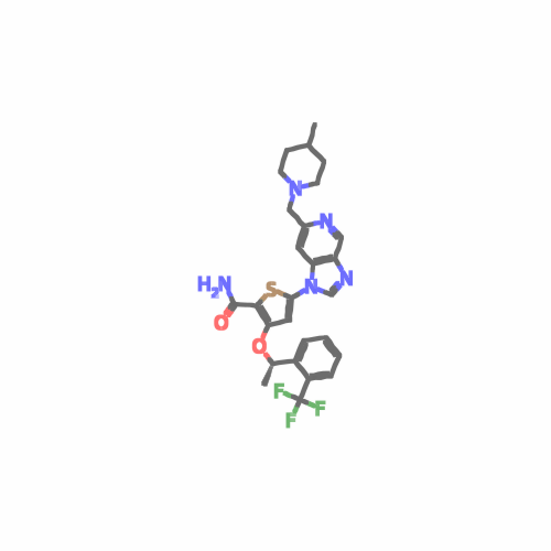 CC1CCN(Cc2cc3c(cn2)ncn3-c2cc(O[C@H](C)c3ccccc3C(F)(F)F)c(C(N)=O)s2)CC1